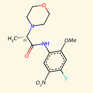 COc1cc(F)c([N+](=O)[O-])cc1NC(=O)[C@H](C)N1CCOCC1